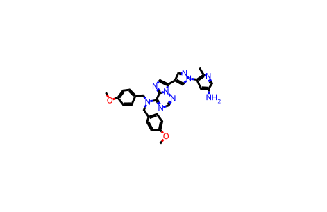 COc1ccc(CN(Cc2ccc(OC)cc2)c2ncnn3c(-c4cnn(-c5cc(N)cnc5C)c4)cnc23)cc1